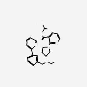 CCN(Cc1cccc(-c2ccccn2)c1)[C@@H]1CCN(c2ncccc2C(=O)OC(C)C)C1